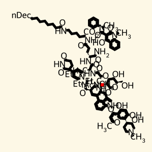 CCC1(c2ccncc2)CCC(=O)NC1=O.CCCCCCCCCCCCCCCCCC(=O)NCCCC[C@H](NC(=O)CC[C@@H](NC(=O)[C@H](C)NC(=O)[C@@H](C)O[C@H]1C(O)[C@@H](CO)O[C@@H](O)[C@@H]1NC(C)=O)C(N)=O)C(=O)O.CCN(CC)C(=O)[C@@H]1C=C2c3cccc4[nH]cc(c34)C[C@H]2N(C)C1.CN(C(=O)c1c(O)c2ccccc2n(C)c1=O)c1ccccc1.Cc1cc(=O)c2c(O)cc(O)c([C@H]3CCN(C)C[C@H]3O)c2o1